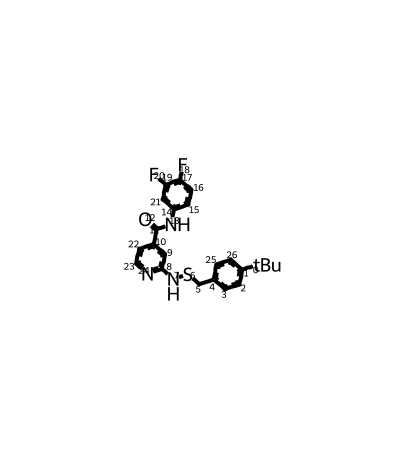 CC(C)(C)c1ccc(CSNc2cc(C(=O)Nc3ccc(F)c(F)c3)ccn2)cc1